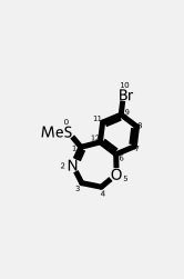 CSC1=NCCOc2ccc(Br)cc21